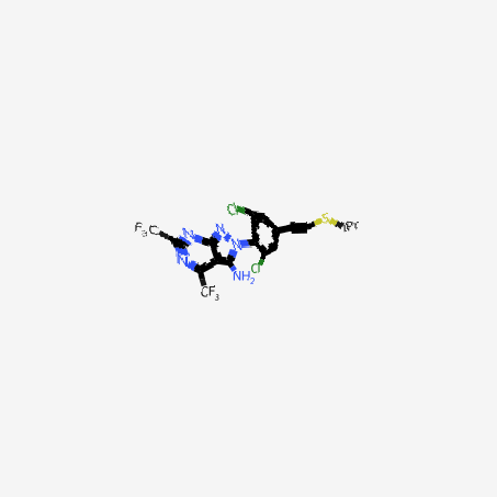 CC(C)SC#Cc1cc(Cl)c(-n2nc3nc(C(F)(F)F)nc(C(F)(F)F)c3c2N)c(Cl)c1